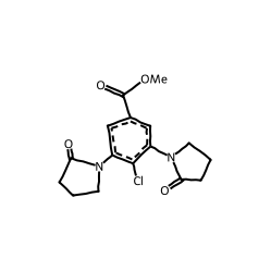 COC(=O)c1cc(N2CCCC2=O)c(Cl)c(N2CCCC2=O)c1